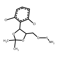 CC1(C)OC(COSN)C(c2c(Cl)cccc2Cl)O1